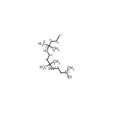 CCN(C)CCNC(C)(C)CCOC(C)(C)CCI